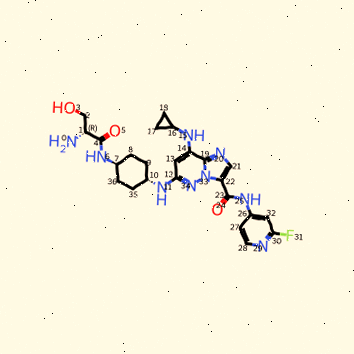 N[C@H](CO)C(=O)N[C@H]1CC[C@H](Nc2cc(NC3CC3)c3ncc(C(=O)Nc4ccnc(F)c4)n3n2)CC1